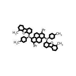 Cc1ccc(N(c2cc(C(C)C)c3ccc4c(N(c5ccc(C)cc5)c5cccc6c5oc5c(C)cccc56)cc(C(C)C)c5ccc2c3c54)c2cccc3c2oc2c(C)cccc23)cc1